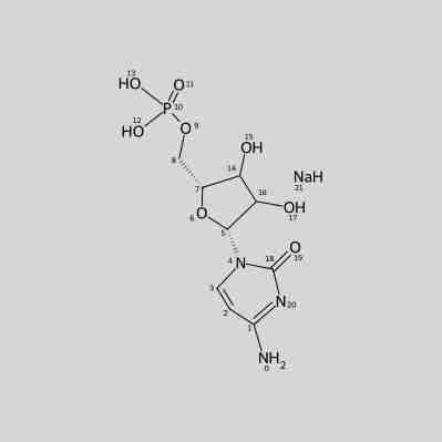 Nc1ccn([C@@H]2O[C@H](COP(=O)(O)O)C(O)C2O)c(=O)n1.[NaH]